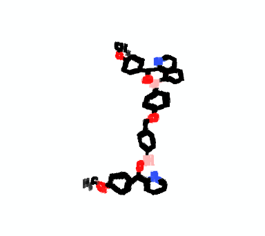 COc1ccc(C(OBc2ccc(COc3ccc(B(OC(c4ccc(OC)cc4)c4ccccn4)c4ccccc4)cc3)cc2)c2ccccn2)cc1